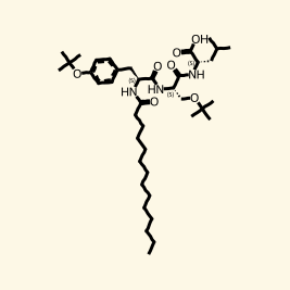 CCCCCCCCCCCCCC(=O)N[C@@H](Cc1ccc(OC(C)(C)C)cc1)C(=O)N[C@@H](COC(C)(C)C)C(=O)N[C@@H](CC(C)C)C(=O)O